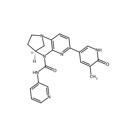 Cc1cc(-c2ccc3c(n2)N(C(=O)Nc2cccnc2)[C@H]2CCN3C2)c[nH]c1=O